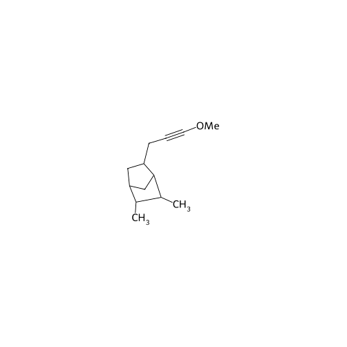 COC#CCC1CC2CC1C(C)C2C